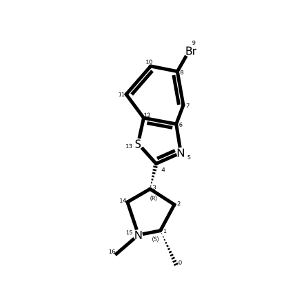 C[C@H]1C[C@@H](c2nc3cc(Br)ccc3s2)CN1C